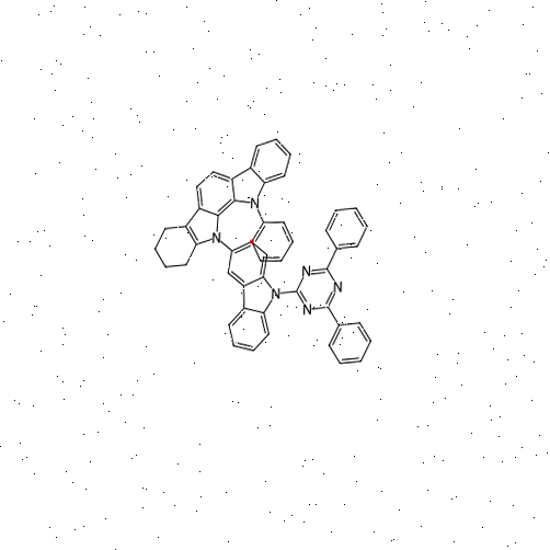 c1ccc(-c2nc(-c3ccccc3)nc(-n3c4ccccc4c4cc(-n5c6c(c7ccc8c9ccccc9n(-c9ccccc9)c8c75)CCCC6)ccc43)n2)cc1